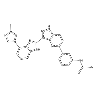 CCCC(=O)Nc1cncc(-c2ccc3[nH]nc(-c4nc5c(-n6cnc(C)c6)cccc5[nH]4)c3n2)c1